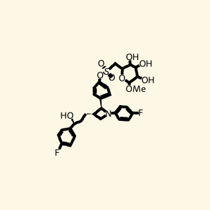 COC1OC(CS(=O)(=O)Oc2ccc([C@@H]3[C@@H](CC[C@H](O)c4ccc(F)cc4)CN3c3ccc(F)cc3)cc2)C(O)C(O)C1O